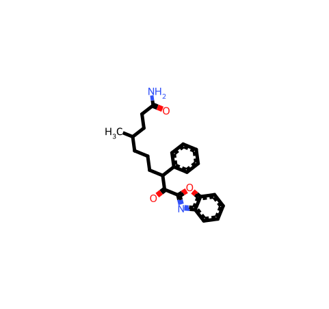 CC(CCCC(C(=O)c1nc2ccccc2o1)c1ccccc1)CCC(N)=O